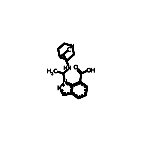 CC(NC1CN2CCC1CC2)n1ncc2cccc(C(=O)O)c21